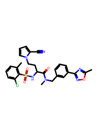 Cc1nc(-c2cccc(CN(C)C(=O)C(CCn3cccc3C#N)NS(=O)(=O)c3c(C)cccc3Cl)c2)no1